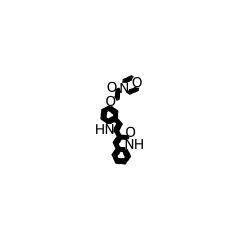 O=C(COc1ccc2[nH]c(-c3cc4ccccc4[nH]c3=O)cc2c1)N1CCOCC1